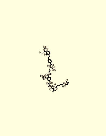 CC(C)[C@H](NC(=O)CCCCCN1C(=O)C=CC1O)C(=O)N[C@@H](C)C(=O)Nc1ccc(C(=O)NCCC[C@H](NC(=O)c2ccc(CCc3ccc4nc(N)nc(N)c4c3Cl)cc2)C(=O)O)c(-c2nn[nH]n2)c1